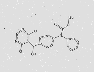 CC(C)(C)OC(=O)N(c1ccccc1)c1ccc(C(O)c2c(Cl)ncnc2Cl)cc1